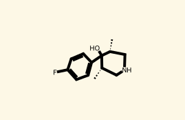 C[C@@H]1CNC[C@H](C)C1(O)c1ccc(F)cc1